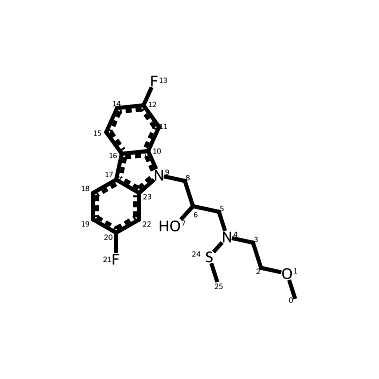 COCCN(CC(O)Cn1c2cc(F)ccc2c2ccc(F)cc21)SC